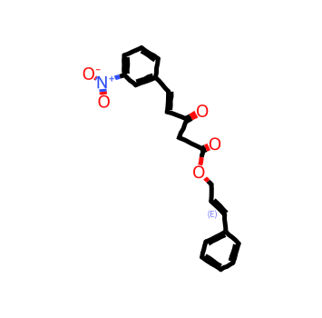 O=C(C=Cc1cccc([N+](=O)[O-])c1)CC(=O)OC/C=C/c1ccccc1